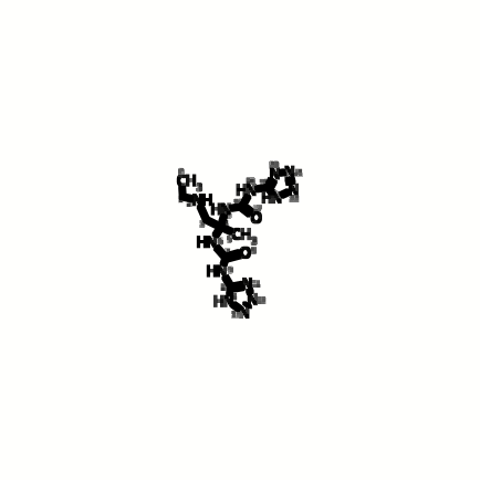 CCNCC(C)(NC(=O)Nc1nnn[nH]1)NC(=O)Nc1nnn[nH]1